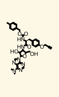 C#CCOc1ccc(C[C@H](NC(=O)OCc2ccc(C)cc2)C(=O)NC2C(CO)OC(n3cnc4c(N(C)C)ncnc43)C2O)cc1